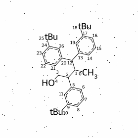 CC(C(CO)c1cccc(C(C)(C)C)c1)C(c1cccc(C(C)(C)C)c1)c1cccc(C(C)(C)C)c1